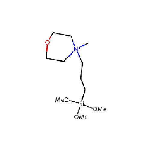 CO[Si](CCC[N+]1(C)CCOCC1)(OC)OC